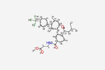 COC(=O)CCNC(=O)c1ccc(C(CC(C)C)Oc2cc(C)c(-c3ccc(C(F)(F)F)cc3)c(C)c2)cc1